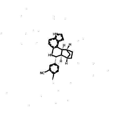 N#Cc1cc([C@@H]2Nc3ccc4[nH]ccc4c3[C@H]3[C@@H]4CC[C@@H](C4)[C@H]32)ccc1F